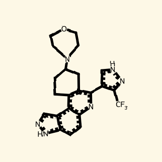 FC(F)(F)c1n[nH]cc1-c1nc2ccc3[nH]ncc3c2c2c1CC(N1CCOCC1)CC2